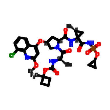 CCOc1cc(O[C@@H]2C[C@@H](C(=O)N[C@]3(C(=O)NS(=O)(=O)OC4CC4)C[C@H]3CC)N(C(=O)[C@@H](NC(=O)OC3(C(F)(F)F)CCC3)C(C)(C)C)C2)c2cccc(Cl)c2n1